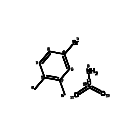 Cc1ccc(Br)cc1C.N[SH](=O)=O